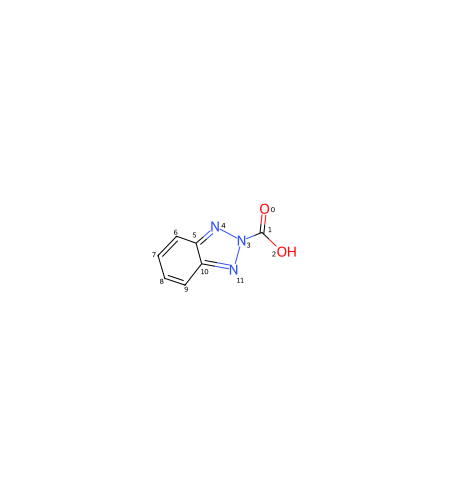 O=C(O)n1nc2ccccc2n1